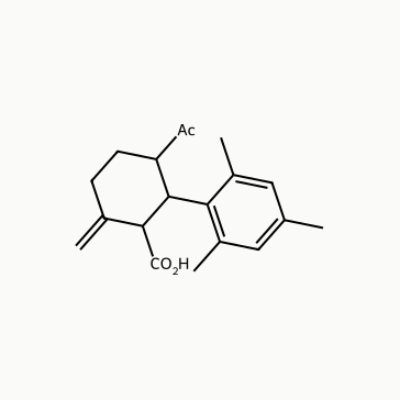 C=C1CCC(C(C)=O)C(c2c(C)cc(C)cc2C)C1C(=O)O